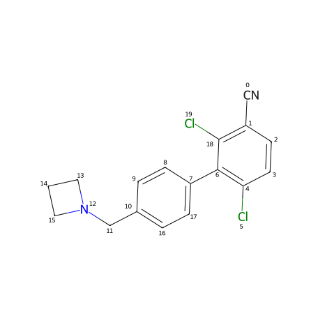 N#Cc1ccc(Cl)c(-c2ccc(CN3CCC3)cc2)c1Cl